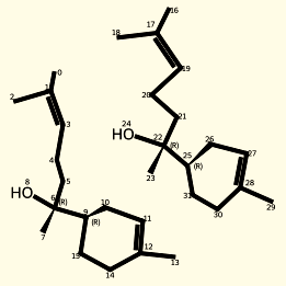 CC(C)=CCC[C@@](C)(O)[C@H]1CC=C(C)CC1.CC(C)=CCC[C@@](C)(O)[C@H]1CC=C(C)CC1